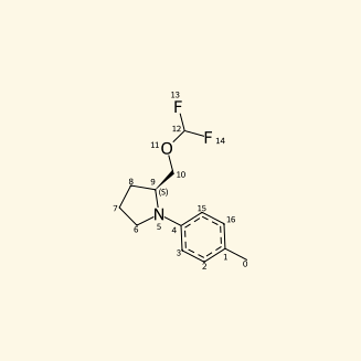 Cc1ccc(N2CCC[C@H]2COC(F)F)cc1